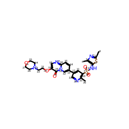 Cc1nc(C)c(NS(=O)(=O)c2cc(-c3ccc4ncc(OCCN5CCOCC5)c(=O)n4c3)cnc2C)s1